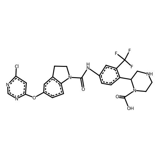 O=C(Nc1ccc(C2CNCCN2C(=O)O)c(C(F)(F)F)c1)N1CCc2cc(Oc3cc(Cl)ncn3)ccc21